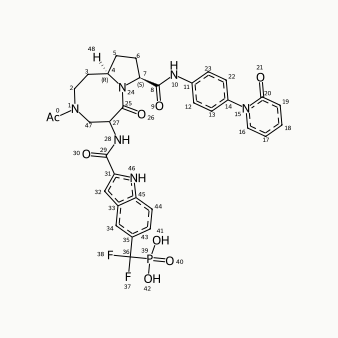 CC(=O)N1CC[C@H]2CC[C@@H](C(=O)Nc3ccc(-n4ccccc4=O)cc3)N2C(=O)C(NC(=O)c2cc3cc(C(F)(F)P(=O)(O)O)ccc3[nH]2)C1